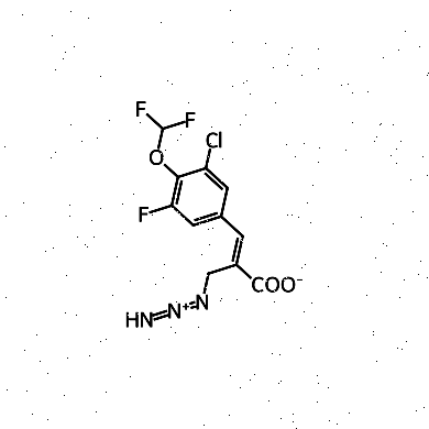 N=[N+]=NCC(=Cc1cc(F)c(OC(F)F)c(Cl)c1)C(=O)[O-]